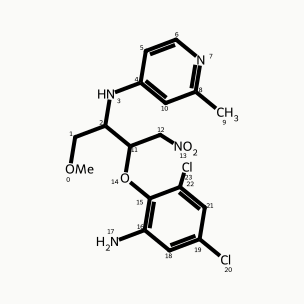 COCC(Nc1ccnc(C)c1)C(C[N+](=O)[O-])Oc1c(N)cc(Cl)cc1Cl